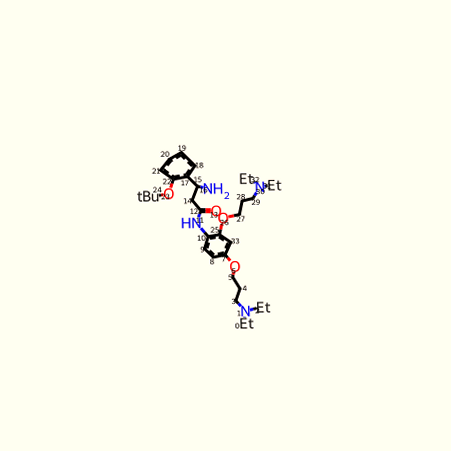 CCN(CC)CCCOc1ccc(NC(=O)CC(N)c2ccccc2OC(C)(C)C)c(OCCCN(CC)CC)c1